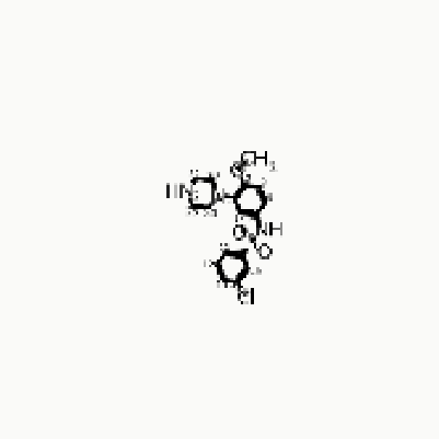 COc1ccc(NS(=O)(=O)c2cccc(Cl)c2)cc1N1CCNCC1